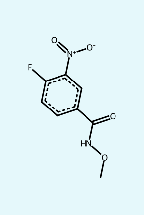 CONC(=O)c1ccc(F)c([N+](=O)[O-])c1